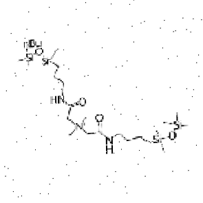 CCCC[Si](C)(C)O[Si](C)(C)CCCNC(=O)C[N+](C)(C)CC(=O)NCCCC[Si](C)(C)O[Si](C)(C)C